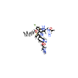 C=CC(=O)NC(C)c1cc(-c2nc(-c3ccc(OCC4CN(C)C4)nc3)c3ccsc3c2-c2c(F)cc(F)cc2OCCOC)n[nH]1